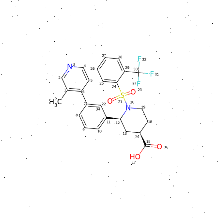 Cc1cnccc1-c1cccc([C@@H]2C[C@H](C(=O)O)CCN2S(=O)(=O)c2ccccc2C(F)(F)F)c1